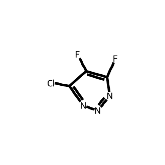 Fc1nnnc(Cl)c1F